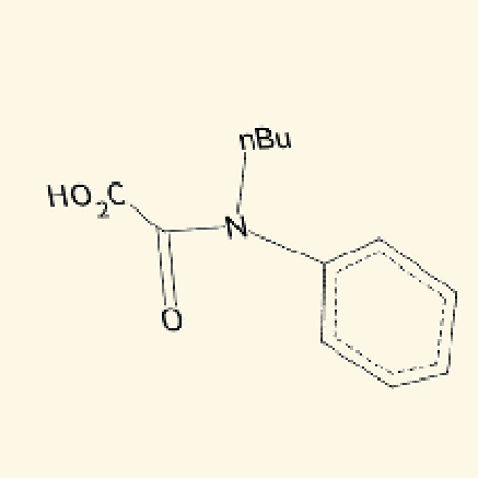 CCCCN(C(=O)C(=O)O)c1ccccc1